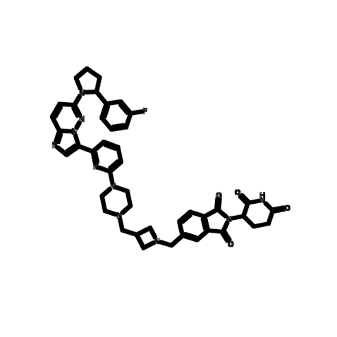 O=C1CCC(N2C(=O)c3ccc(CN4CC(CN5CCN(c6cccc(-c7cnc8ccc(N9CCCC9c9cccc(F)c9)nn78)n6)CC5)C4)cc3C2=O)C(=O)N1